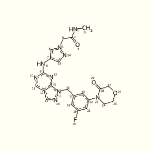 CNC(=O)Cn1cc(Nc2ncc3cnn(Cc4cc(F)cc(N5CCOCC5=O)c4)c3n2)cn1